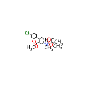 COC(=O)C1=C(c2ccc(Cl)cc2)CCC(N(C)C(=O)OC(C)(C)C)C1